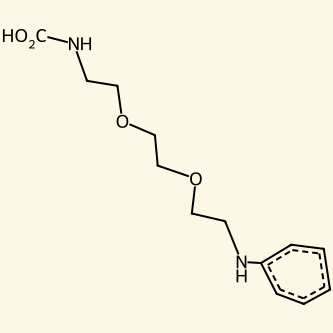 O=C(O)NCCOCCOCCNc1ccccc1